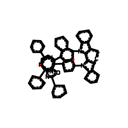 c1ccc(-c2nc(-c3ccccc3)nc(-c3ccc(-n4c5ccccc5c5ccc6c7ccccc7n(-c7ccc(-c8cccc9nc(-c%10ccccc%10)oc89)c8ccccc78)c6c54)cc3)n2)cc1